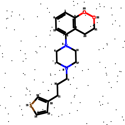 c1cc2c(c(N3CCN(CCCc4ccsc4)CC3)c1)CCOO2